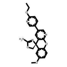 CCOc1ccc(-c2cnc3c(c2)[C@]2(COC(N)=N2)c2cc(OC)ccc2O3)cn1